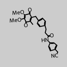 COC1=C(OC)C(=O)C(Cc2ccc(CCC(=O)Nc3ccc(CC#N)cc3)cc2)=C(C)C1=O